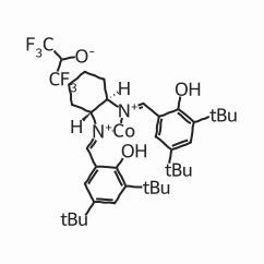 CC(C)(C)c1cc(C=[N+]2[Co][N+](=Cc3cc(C(C)(C)C)cc(C(C)(C)C)c3O)[C@@H]3CCCC[C@H]32)c(O)c(C(C)(C)C)c1.[O-]C(C(F)(F)F)C(F)(F)F